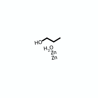 CCCO.O.[Zn].[Zn]